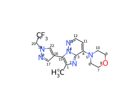 Cc1nc2c(N3CCOCC3)ccnn2c1-c1cnn(CC(F)(F)F)c1